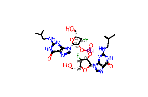 CC(C)CNc1nc2c(ncn2[C@@H]2O[C@H](CO)[C@@H](F)[C@H]2O[PH](=O)O[C@@H]2[C@H](F)[C@@H](CO)O[C@H]2n2cnc3c(=O)[nH]c(NCC(C)C)nc32)c(=O)[nH]1